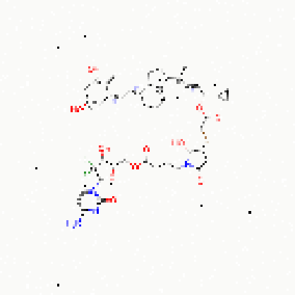 C=C1/C(=C\C=C2/CCC[C@@]3(C)C2CCC3[C@@H](C)/C=C/C(OC(=O)CSC2CC(=O)N(CCCC(=O)OCC3OC(n4ccc(N)nc4=O)C(F)(F)C3O)C2O)C2CC2)C[C@@H](O)C[C@@H]1O